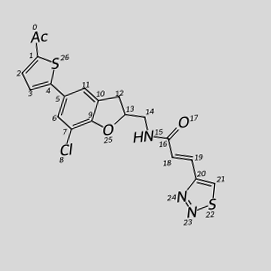 CC(=O)c1ccc(-c2cc(Cl)c3c(c2)CC(CNC(=O)C=Cc2csnn2)O3)s1